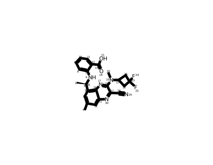 Cc1cc([C@@H](C)Nc2ccccc2C(=O)O)c2nc(N(C)C3CC(F)(F)C3)c(C#N)nc2c1